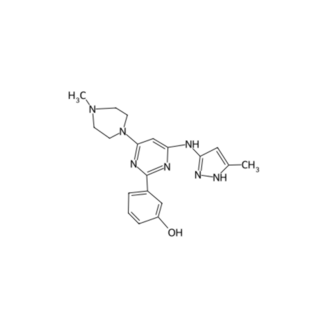 Cc1cc(Nc2cc(N3CCN(C)CC3)nc(-c3cccc(O)c3)n2)n[nH]1